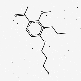 CCCc1c(OCCCI)ccc(C(C)=O)c1OC